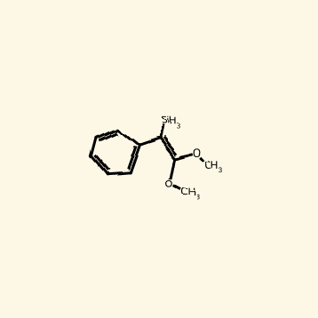 COC(OC)=C([SiH3])c1ccccc1